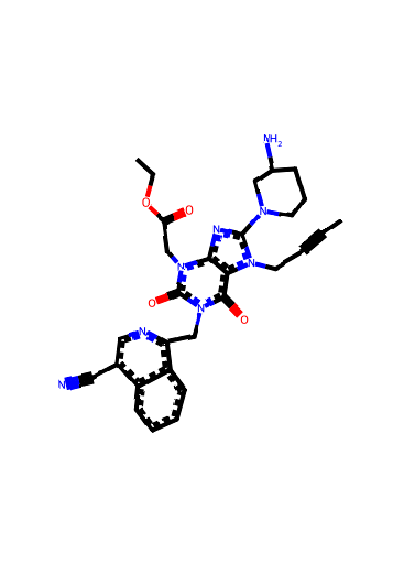 CC#CCn1c(N2CCCC(N)C2)nc2c1c(=O)n(Cc1ncc(C#N)c3ccccc13)c(=O)n2CC(=O)OCC